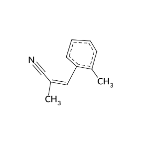 C/C(C#N)=C/c1ccccc1C